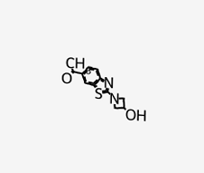 CC(=O)c1ccc2nc(N3CC(O)C3)sc2c1